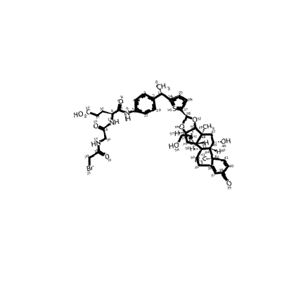 C[C@@H](c1ccc(NC(=O)[C@H](CCC(=O)O)NC(=O)CNC(=O)CBr)cc1)c1ccc([C@@H]2O[C@@H]3C[C@H]4[C@@H]5CCC6=CC(=O)C=C[C@]6(C)[C@H]5[C@@H](O)C[C@]4(C)[C@]3(C(=O)CO)O2)s1